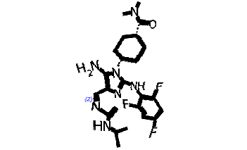 C=C(/N=C\c1nc(Nc2c(F)cc(F)cc2F)n([C@H]2CC[C@@H](C(=O)N(C)C)CC2)c1N)NC(C)C